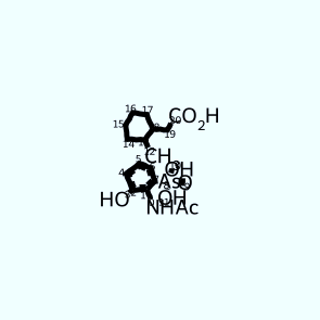 CC(=O)Nc1c(O)cccc1[As](=O)(O)O.CC1CCCCC1CC(=O)O